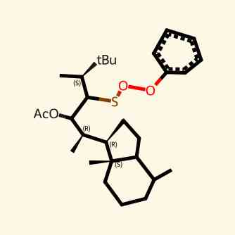 CC(=O)OC(C(SOOc1ccccc1)[C@@H](C)C(C)(C)C)[C@H](C)[C@H]1CCC2C(C)CCC[C@@]21C